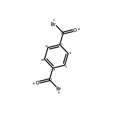 O=C(Br)c1ccc(C(=O)Br)cc1